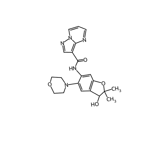 CC1(C)Oc2cc(NC(=O)c3cnn4cccnc34)c(N3CCOCC3)cc2C1O